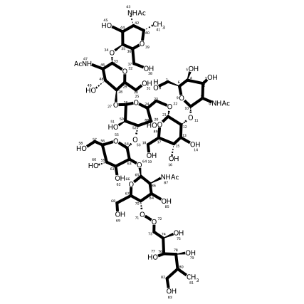 CC(=O)NC1C(O)[C@H](O)[C@H](CO)O[C@H]1O[C@@H]1C(O)[C@H](O)C(CO)O[C@@H]1OCC1OC(O[C@@H]2C(CO)O[C@@H](O[C@@H]3C(CO)O[C@@H](C)[C@@H](NC(C)=O)C3O)C(NC(C)=O)[C@H]2O)[C@H](O)[C@@H](O[C@H]2OC(CO)[C@@H](O)C(O)C2O[C@@H]2OC(CO)[C@@H](OOC[C@@H](O)C(O)[C@@H](O)C(C)CO)C(O)[C@@H]2NC(C)=O)[C@@H]1O